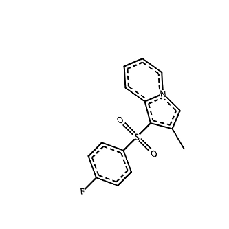 Cc1cn2ccccc2c1S(=O)(=O)c1ccc(F)cc1